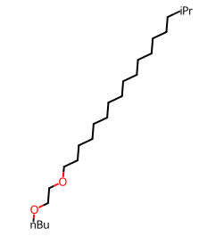 CCCCOCCOCCCCCCCCCCCCCCCC(C)C